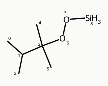 CC(C)C(C)(C)OO[SiH3]